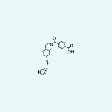 O=C(O)c1ccc(C(=O)N2C=Cc3ccc(C#CCn4ccnc4)cc3C2)cc1